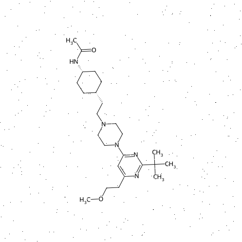 COCCc1cc(N2CCN(CC[C@H]3CC[C@@H](NC(C)=O)CC3)CC2)nc(C(C)(C)C)n1